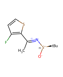 C/C(=N\[S@+]([O-])C(C)(C)C)c1sccc1F